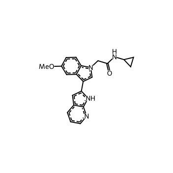 COc1ccc2c(c1)c(-c1cc3cccnc3[nH]1)cn2CC(=O)NC1CC1